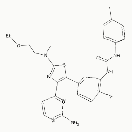 CCOCCN(C)c1nc(-c2ccnc(N)n2)c(-c2ccc(F)c(NC(=O)Nc3ccc(C)cc3)c2)s1